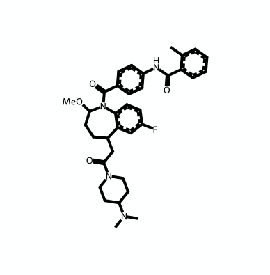 COC1CCC(CC(=O)N2CCC(N(C)C)CC2)c2cc(F)ccc2N1C(=O)c1ccc(NC(=O)c2ccccc2C)cc1